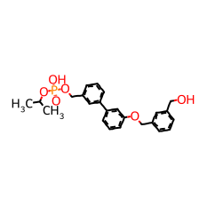 CC(C)OP(=O)(O)OCc1cccc(-c2cccc(OCc3cccc(CO)c3)c2)c1